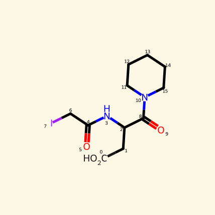 O=C(O)CC(NC(=O)CI)C(=O)N1CCCCC1